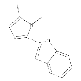 CCn1c(C)ccc1-c1cc2ccccc2o1